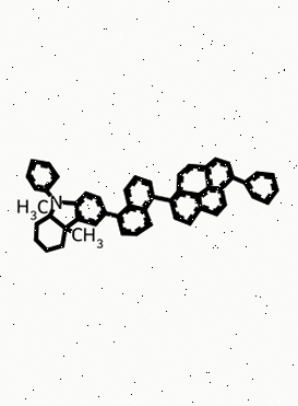 CC12CCCCC1(C)N(c1ccccc1)c1ccc(-c3cccc4c(-c5ccc6ccc7c(-c8ccccc8)ccc8ccc5c6c87)cccc34)cc12